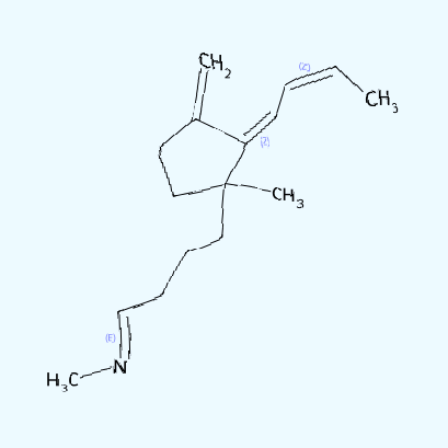 C=C1CCC(C)(CCC/C=N/C)/C1=C/C=C\C